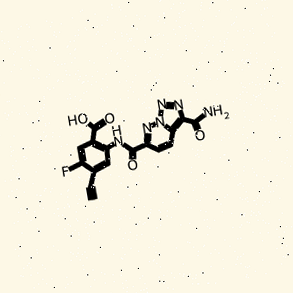 C#Cc1cc(NC(=O)c2ccc3c(C(N)=O)nnn3n2)c(C(=O)O)cc1F